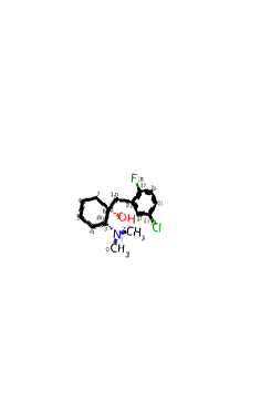 CN(C)[C@@H]1CCCC[C@@]1(O)Cc1cc(Cl)ccc1F